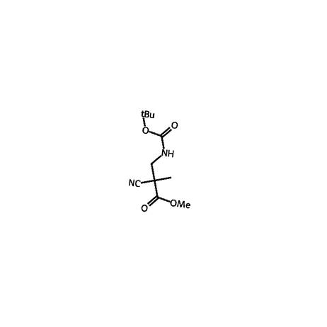 COC(=O)C(C)(C#N)CNC(=O)OC(C)(C)C